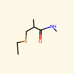 CCSCC(C)C(=O)NC